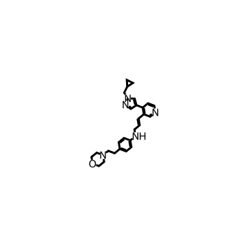 C(=C\c1cnccc1-c1cnn(CC2CC2)c1)/CNc1ccc(CCN2CCOCC2)cc1